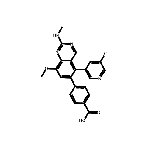 CNc1ncc2c(-c3cncc(Cl)c3)c(-c3ccc(C(=O)O)cc3)cc(OC)c2n1